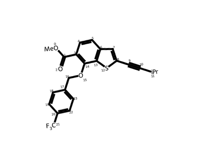 COC(=O)c1ccc2cc(C#CC(C)C)sc2c1OCc1ccc(C(F)(F)F)cc1